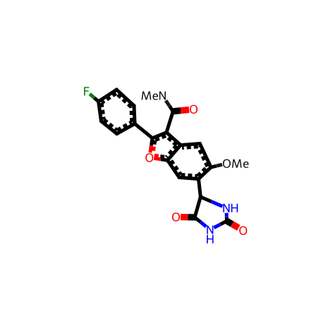 CNC(=O)c1c(-c2ccc(F)cc2)oc2cc(C3NC(=O)NC3=O)c(OC)cc12